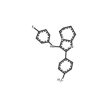 Cc1ccc(-c2nc3ccccn3c2Nc2ccc(F)cc2)cc1